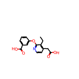 CCc1c(CC(=O)O)ccnc1Oc1cccc(C(=O)O)c1